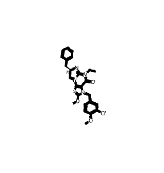 CCN1C(=O)c2c(nc(OC)n2Cc2ccc(OC)c(Cl)c2)N2C[C@@H](Cc3ccccc3)N=C12